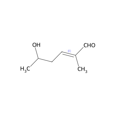 C/C(C=O)=C\CC(C)O